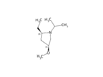 CC[C@@H]1C[C@H](OC)CN1C(C)C